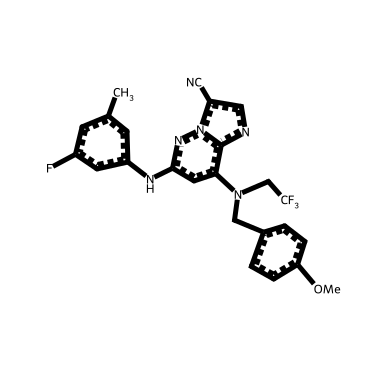 COc1ccc(CN(CC(F)(F)F)c2cc(Nc3cc(C)cc(F)c3)nn3c(C#N)cnc23)cc1